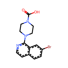 O=C(O)N1CCN(c2nccc3ccc(Br)cc23)CC1